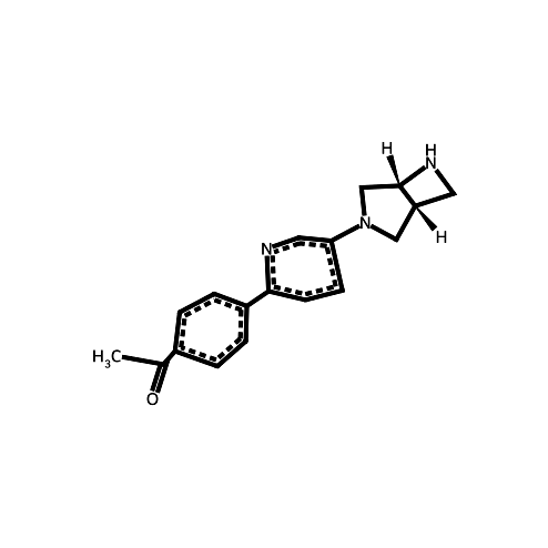 CC(=O)c1ccc(-c2ccc(N3C[C@H]4CN[C@H]4C3)cn2)cc1